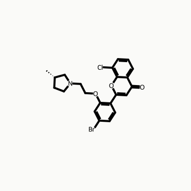 C[C@H]1CCN(CCOc2cc(Br)ccc2-c2cc(=O)c3cccc(Cl)c3o2)C1